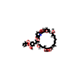 CCC(C)(CC)C(=O)O[C@@H]1CC[C@@H](C[C@@H](C)[C@@H]2CC(=O)[C@H](C)/C=C(\C)[C@@H](O)[C@@H](OC)C(=O)[C@H](C)C[C@H](C)/C=C/C=C/C=C(\C)[C@@H](OC)C[C@@H]3CC[C@@H](C)[C@@](O)(O3)C(=O)C(=O)N3CCCC[C@H]3C(=O)O2)C[C@H]1OC